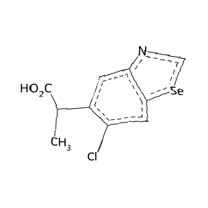 CC(C(=O)O)c1cc2nc[se]c2cc1Cl